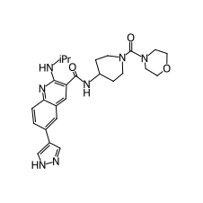 CC(C)Nc1nc2ccc(-c3cn[nH]c3)cc2cc1C(=O)NC1CCN(C(=O)N2CCOCC2)CC1